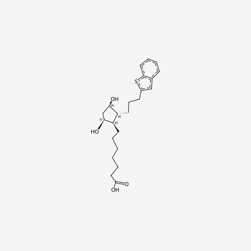 O=C(O)CCCCCC[C@@H]1[C@@H](CCCc2cc3ccccc3s2)[C@H](O)C[C@@H]1O